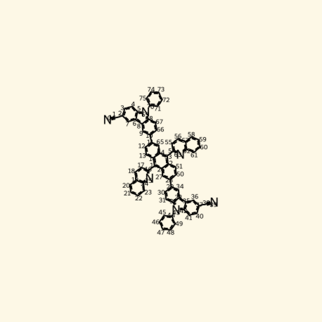 N#Cc1ccc2c(c1)c1cc(-c3ccc4c(-c5ccc6ccccc6n5)c5cc(-c6ccc7c(c6)c6cc(C#N)ccc6n7-c6ccccc6)ccc5c(-c5ccc6ccccc6n5)c4c3)ccc1n2-c1ccccc1